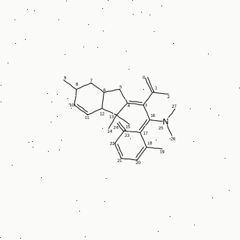 C=C(C)C(=C1\CC2CC(C)C=CC2C1(C)C)/C(=c1/c(C)cccc1=C)N(C)C